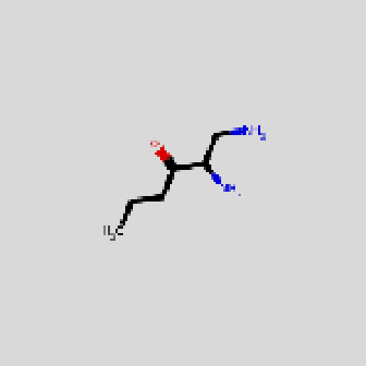 [CH2]CCC(=O)C(N)CN